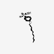 CCCCCCCCCOc1ccc(P(=O)(O)O)cc1